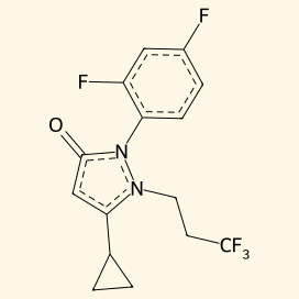 O=c1cc(C2CC2)n(CCC(F)(F)F)n1-c1ccc(F)cc1F